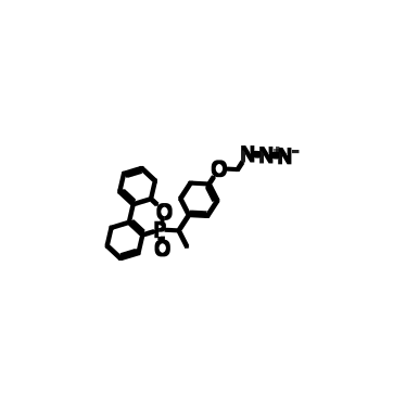 CC(C1=CC=C(OCN=[N+]=[N-])CC1)P1(=O)OC2CC=CC=C2C2=C1C=CCC2